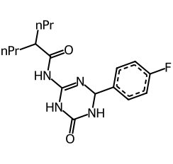 CCCC(CCC)C(=O)NC1=NC(c2ccc(F)cc2)NC(=O)N1